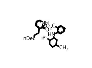 CC1CCC(C(C)C)C(Nc2ccccc2C(=O)O)C1.CCCCCCCCCCCCc1ccc[nH]c1=O